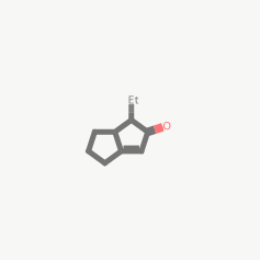 CCC1C(=O)C=C2CCCC21